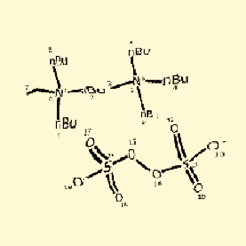 CCCC[N+](C)(CCCC)CCCC.CCCC[N+](C)(CCCC)CCCC.O=S(=O)([O-])OOS(=O)(=O)[O-]